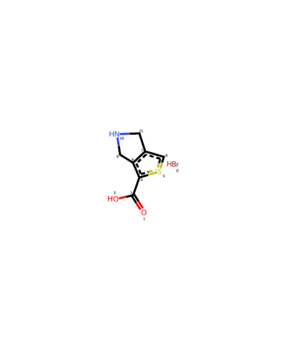 Br.O=C(O)c1scc2c1CNC2